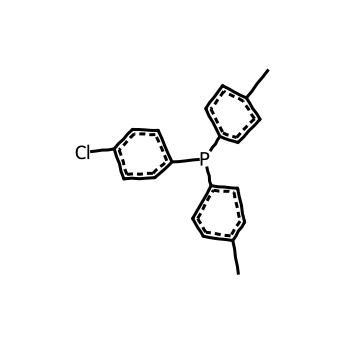 Cc1ccc(P(c2ccc(C)cc2)c2ccc(Cl)cc2)cc1